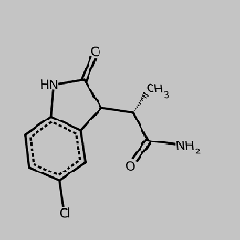 C[C@H](C(N)=O)C1C(=O)Nc2ccc(Cl)cc21